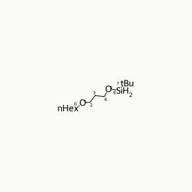 CCCCCCOCCCO[SiH2]C(C)(C)C